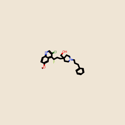 COc1ccc2ncc(Cl)c([C@@H](F)CCC3(CO)CCN(CCCc4ccccc4)CC3)c2c1